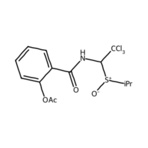 CC(=O)Oc1ccccc1C(=O)NC([S+]([O-])C(C)C)C(Cl)(Cl)Cl